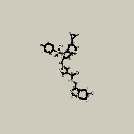 Cc1ccc(S(=O)(=O)n2c(Cn3cc(C(=O)NCc4ncn5ccc(Cl)cc45)cn3)cc3ncc(C4CC4)cc32)cc1